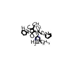 C=CC1=C(C)N(C2CCCCC2)C(=O)C1N(C(=O)COc1ccccn1)C(/C=C\C)=C/C(=C)C